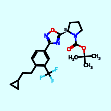 CC(C)(C)OC(=O)N1CCC[C@H]1c1nc(-c2ccc(CCC3CC3)c(C(F)(F)F)c2)no1